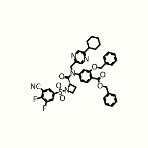 N#Cc1cc(S(=O)(=O)N2CC[C@@H]2C(=O)N(Cc2cnc(C3CCCCC3)cn2)c2ccc(C(=O)OCc3ccccc3)c(OCc3ccccc3)c2)cc(F)c1F